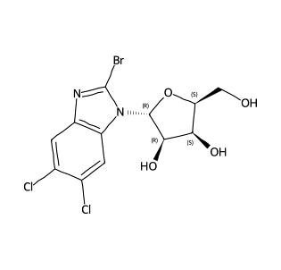 OC[C@@H]1O[C@@H](n2c(Br)nc3cc(Cl)c(Cl)cc32)[C@H](O)[C@@H]1O